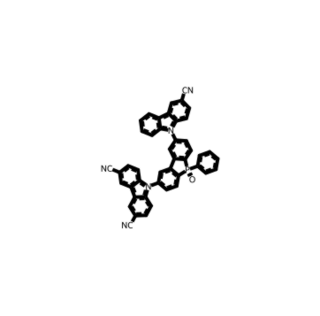 N#Cc1ccc2c(c1)c1ccccc1n2-c1ccc2c(c1)-c1cc(-n3c4ccc(C#N)cc4c4cc(C#N)ccc43)ccc1P2(=O)c1ccccc1